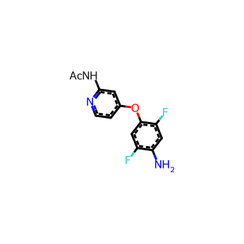 CC(=O)Nc1cc(Oc2cc(F)c(N)cc2F)ccn1